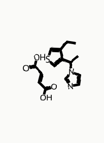 CCc1cscc1C(C)n1ccnc1.O=C(O)/C=C/C(=O)O